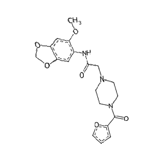 COc1cc2c(cc1NC(=O)CN1CCN(C(=O)c3ccco3)CC1)OCO2